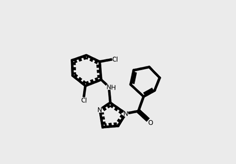 O=C(C1=CCCC=C1)n1ccnc1Nc1c(Cl)cccc1Cl